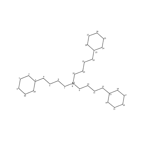 C1CCC(CCC[CH2][Al]([CH2]CCCC2CCCCC2)[CH2]CCCC2CCCCC2)CC1